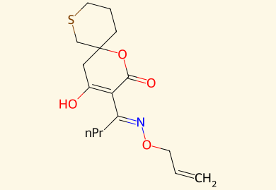 C=CCON=C(CCC)C1=C(O)CC2(CCCSC2)OC1=O